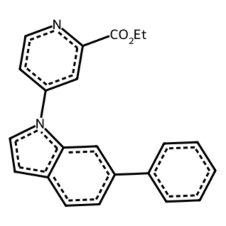 CCOC(=O)c1cc(-n2ccc3ccc(-c4ccccc4)cc32)ccn1